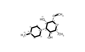 CO[C@@H]1O[C@H](C)[C@@H](O)[C@H](N2CCN(C)CC2)[C@@H]1O